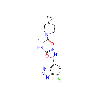 C[C@@H](Nc1nnc(-c2ccc(Cl)c3nn[nH]c23)o1)C(=O)N1CCC2(CC1)CC2